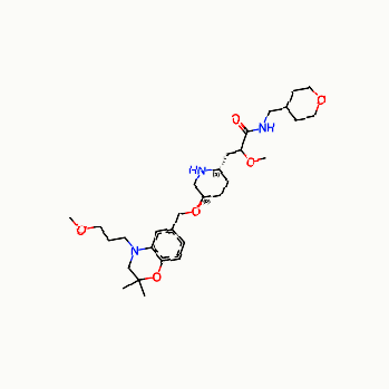 COCCCN1CC(C)(C)Oc2ccc(CO[C@@H]3CC[C@@H](CC(OC)C(=O)NCC4CCOCC4)NC3)cc21